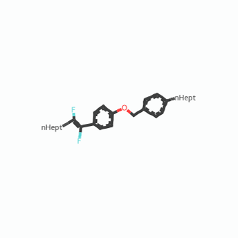 CCCCCCCC(F)=C(F)c1ccc(OCc2ccc(CCCCCCC)cc2)cc1